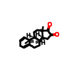 C[C@]12C=CCC=C1CC[C@@H]1[C@@H]2CC[C@]2(C)C(=O)C(=O)C[C@@H]12